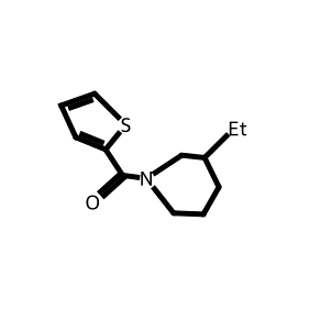 CCC1CCCN(C(=O)c2cccs2)C1